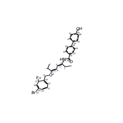 CC/C(=C\C=C(/CC)OCC1=CC=CC(Br)=CC1F)NC(=O)c1ccc(-c2ccc(O)cc2)cc1